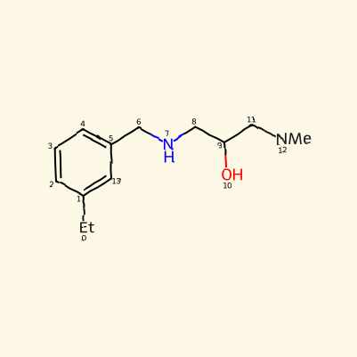 CCc1cccc(CNCC(O)CNC)c1